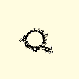 COC(=O)NC1C[C@@H]2CC[C@@H](C)[C@@](O)(O2)C(=O)C(=O)N2CCCC[C@H]2C(=O)O[C@H]([C@H](C)C[C@@H]2CC[C@@H](O)[C@H](OC)C2)CC(=O)[C@H](C)/C=C(\C)[C@@H](O)[C@@H](OC)C(=O)[C@H](C)C[C@H](C)/C=C/C=C/C=C/1C